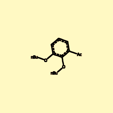 CCCCOc1cccc(C(C)=O)c1OCCCC